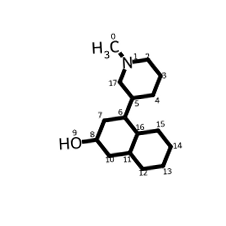 CN1CCCC(C2CC(O)CC3CCCCC32)C1